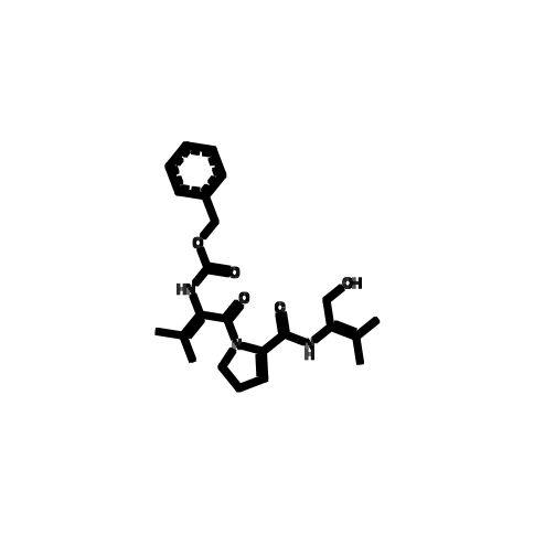 CC(C)=C(CO)NC(=O)C1=CCCN1C(=O)C(NC(=O)OCc1ccccc1)=C(C)C